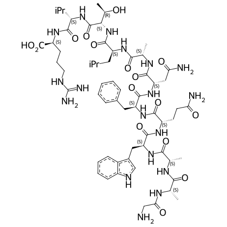 CC(C)C[C@H](NC(=O)[C@H](C)NC(=O)[C@H](CC(N)=O)NC(=O)[C@H](Cc1ccccc1)NC(=O)[C@H](CCC(N)=O)NC(=O)[C@H](Cc1c[nH]c2ccccc12)NC(=O)[C@H](C)NC(=O)[C@H](C)NC(=O)CN)C(=O)N[C@H](C(=O)N[C@H](C(=O)N[C@@H](CCCNC(=N)N)C(=O)O)C(C)C)[C@@H](C)O